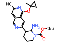 CC(C)(C)OC(=O)N1CCCC(c2cc3c(OC4(C)CC4)nc(C#N)cc3cn2)C1N